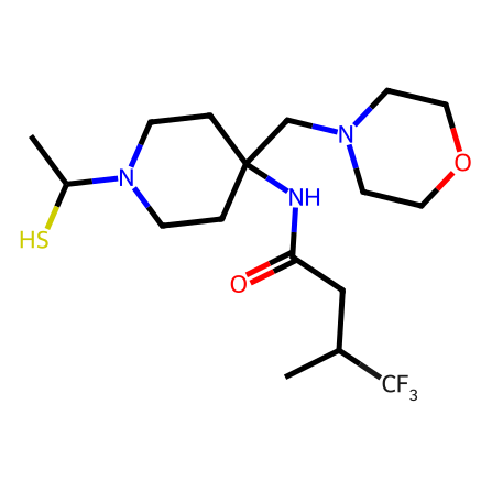 CC(S)N1CCC(CN2CCOCC2)(NC(=O)CC(C)C(F)(F)F)CC1